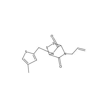 C=CCN1C(=O)C2SSC1C(=O)N2Cc1cc(C)cs1